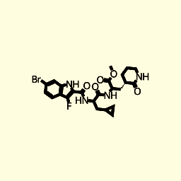 COC(=O)C(C[C@@H]1CCCNC1=O)NC(=O)C(CC1CC1)NC(=O)c1[nH]c2cc(Br)ccc2c1F